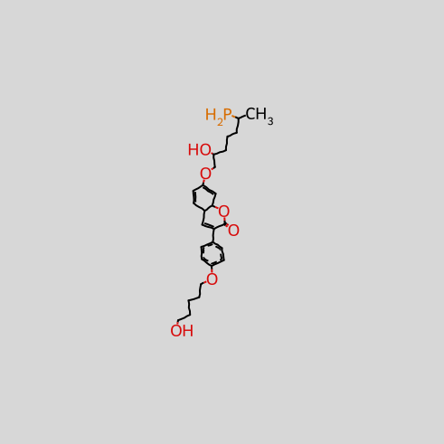 CC(P)CCCC(O)COC1=CC2OC(=O)C(c3ccc(OCCCCCO)cc3)=CC2C=C1